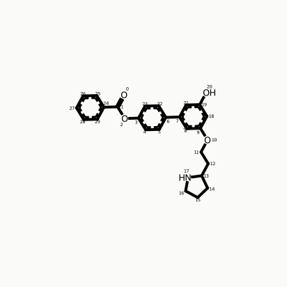 O=C(Oc1ccc(-c2[c]c(OCCC3CCCN3)cc(O)c2)cc1)c1ccccc1